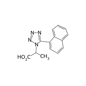 CC(C(=O)O)n1nnnc1-c1cccc2ccccc12